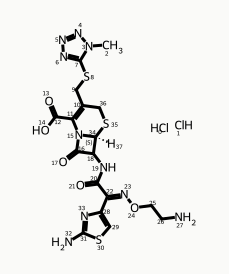 Cl.Cl.Cn1nnnc1SCC1=C(C(=O)O)N2C(=O)C(NC(=O)C(=NOCCN)c3csc(N)n3)[C@@H]2SC1